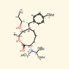 COc1ccc(C[C@H]2CCC[C@H](N(C(=O)O)C(OC)C(C)(C)C)C(=O)O[C@@H](C)[C@@H]2OCCC(C)=O)cc1